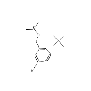 CC(C)(C)C.C[SiH](C)OCc1cccc(Br)c1